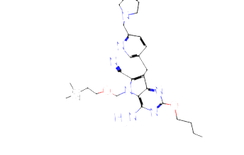 CCCCOc1nc(N)c2c(n1)c(Cc1ccc(CN3CCCC3)nc1)c(C#N)n2COCC[Si](C)(C)C